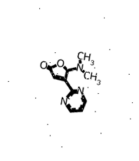 CN(C)C1OC(=O)C=C1c1ncccn1